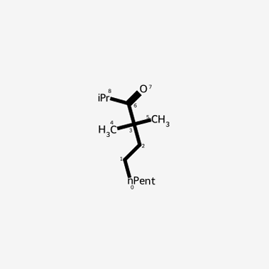 CCCCCCCC(C)(C)C(=O)C(C)C